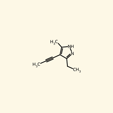 CC#Cc1c(CC)n[nH]c1C